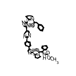 COC(=O)N[C@@H](C(=O)N1CCC[C@H]1c1ncc(-c2ccc(-c3ncc(-c4cnc([C@@H]5CCCN5C(=O)Cc5ccccc5)[nH]4)cn3)cc2)[nH]1)c1ccccc1